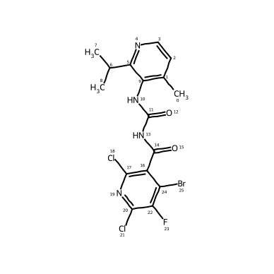 Cc1ccnc(C(C)C)c1NC(=O)NC(=O)c1c(Cl)nc(Cl)c(F)c1Br